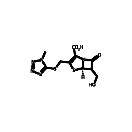 Cn1nnnc1SCC1=C(C(=O)O)N2C(=O)C(CO)[C@H]2S1